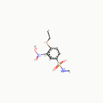 CCSc1ccc(S(=O)(=O)NC)cc1[N+](=O)[O-]